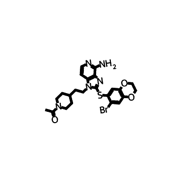 CC(=O)N1CCC(CCn2c(Sc3cc4c(cc3Br)OCCO4)nc3c(N)nccc32)CC1